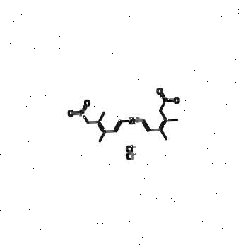 CC(C=[CH][Zr+2][CH]=CC(C)=C(C)CP(=O)=O)=C(C)CP(=O)=O.[Cl-].[Cl-]